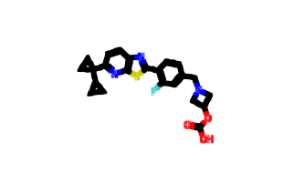 O=C(O)OC1CN(Cc2ccc(-c3nc4ccc(C5(C6CC6)CC5)nc4s3)c(F)c2)C1